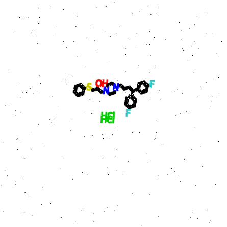 Cl.Cl.OC(CSc1ccccc1)CN1CCN(CCCC(c2ccc(F)cc2)c2ccc(F)cc2)CC1